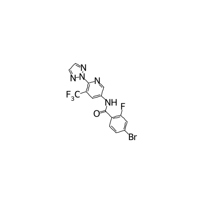 O=C(Nc1cnc(-n2nccn2)c(C(F)(F)F)c1)c1ccc(Br)cc1F